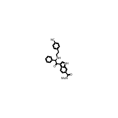 CNC(=O)c1ccc2c(C(=O)C(NCCc3ccc(C#N)cc3)c3ccccc3)c[nH]c2c1